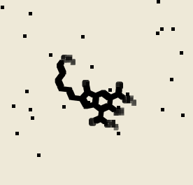 C/C=C/C=C\C=C\C1=Cc2c(cc(C(C)=O)c(S)c2C(C)=O)C1=O